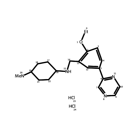 CCOc1ccc(-c2cnccn2)cc1CNC1CCC(NC)CC1.Cl.Cl